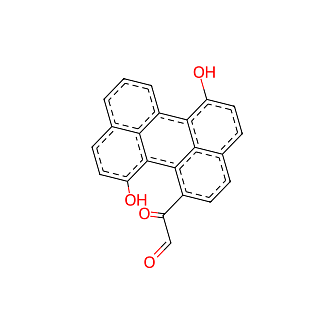 O=CC(=O)c1ccc2ccc(O)c3c4cccc5ccc(O)c(c1c23)c54